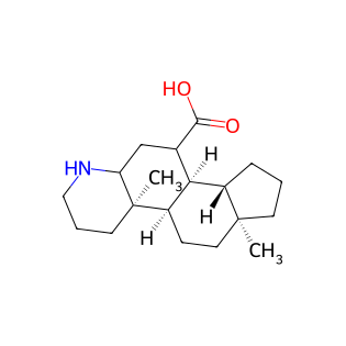 C[C@@]12CCC[C@H]1[C@@H]1C(C(=O)O)CC3NCCC[C@]3(C)[C@@H]1CC2